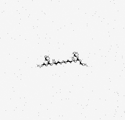 CCOC(OCC)O[SiH2]CCSSSCC[SiH2]OC(OCC)OCC